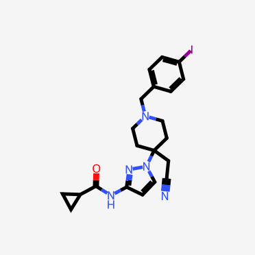 N#CCC1(n2ccc(NC(=O)C3CC3)n2)CCN(Cc2ccc(I)cc2)CC1